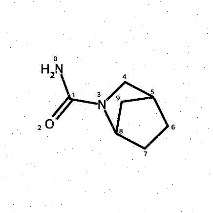 NC(=O)N1CC2CCC1C2